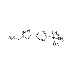 CCn1cc(-c2ccc(C(C)(C)C)cc2)nn1